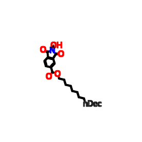 CCCCCCCCCCCCCCCCCCOC(=O)c1ccc2c(c1)C(=O)N(O)C2=O